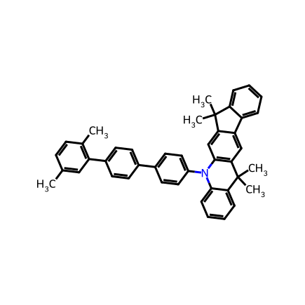 Cc1ccc(C)c(-c2ccc(-c3ccc(N4c5ccccc5C(C)(C)c5cc6c(cc54)C(C)(C)c4ccccc4-6)cc3)cc2)c1